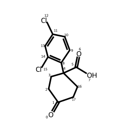 O=C1CCC(C(=O)O)(c2ccc(Cl)cc2Cl)CC1